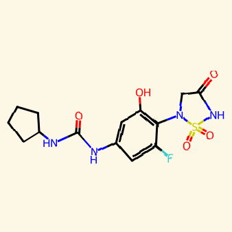 O=C1CN(c2c(O)cc(NC(=O)NC3CCCC3)cc2F)S(=O)(=O)N1